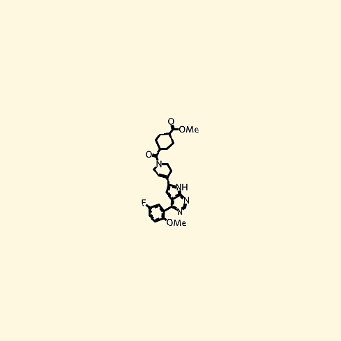 COC(=O)C1CCC(C(=O)N2CC=C(c3cc4c(-c5cc(F)ccc5OC)ncnc4[nH]3)CC2)CC1